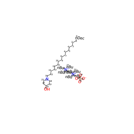 CCCCCCCCCCCCCCCCCCCCCCCCCCN1CCC(O)CC1.CCCC[N+](CCCC)(CCCC)CCCC.CCCC[N+](CCCC)(CCCC)CCCC.O=S(=O)([O-])[O-]